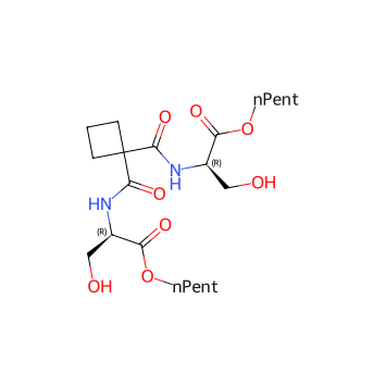 CCCCCOC(=O)[C@@H](CO)NC(=O)C1(C(=O)N[C@H](CO)C(=O)OCCCCC)CCC1